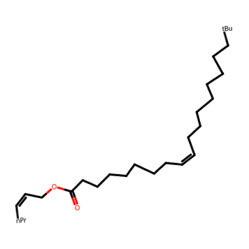 CCC/C=C\COC(=O)CCCCCCC/C=C\CCCCCCCCC(C)(C)C